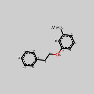 COc1[c]ccc(OCCc2ccccc2)c1